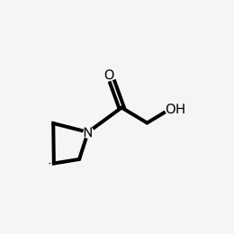 O=C(CO)N1C[CH]C1